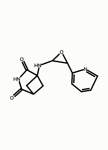 O=C1NC(=O)C2(NC3OC3c3ccccn3)CC1C2